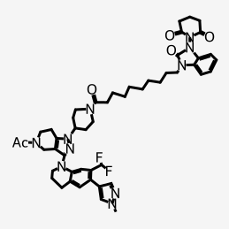 CC(=O)N1CCc2c(c(N3CCCc4cc(-c5cnn(C)c5)c(C(F)F)cc43)nn2C2CCN(C(=O)CCCCCCCCCn3c(=O)n(N4C(=O)CCCC4=O)c4ccccc43)CC2)C1